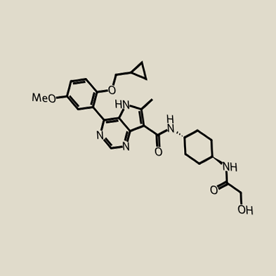 COc1ccc(OCC2CC2)c(-c2ncnc3c(C(=O)N[C@H]4CC[C@H](NC(=O)CO)CC4)c(C)[nH]c23)c1